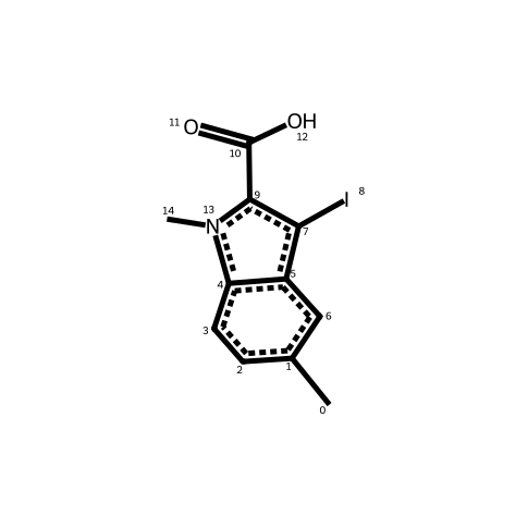 Cc1ccc2c(c1)c(I)c(C(=O)O)n2C